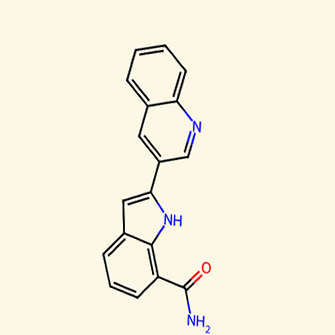 NC(=O)c1cccc2cc(-c3cnc4ccccc4c3)[nH]c12